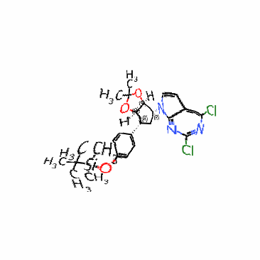 CC1(C)O[C@@H]2[C@H](O1)[C@@H](c1ccc(O[Si](C)(C)C(C)(C)C)cc1)C[C@H]2n1ccc2c(Cl)nc(Cl)nc21